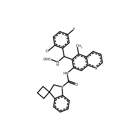 Cc1c(C(NC=O)c2cc(F)ccc2Cl)c(NC(=O)N2CC3(CCC3)c3ccccc32)cc2ncccc12